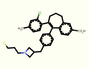 Cc1ccc(C2=C(c3ccc(CC4CN(CCCF)C4)cc3)c3ccc(C(=O)O)cc3CCC2)c(Cl)c1